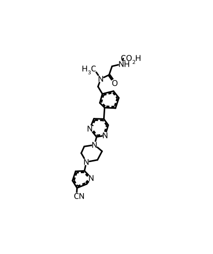 CN(Cc1cccc(-c2cnc(N3CCN(c4ccc(C#N)cn4)CC3)nc2)c1)C(=O)CNC(=O)O